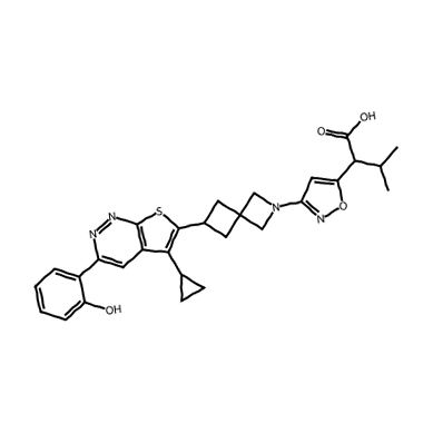 CC(C)C(C(=O)O)c1cc(N2CC3(CC(c4sc5nnc(-c6ccccc6O)cc5c4C4CC4)C3)C2)no1